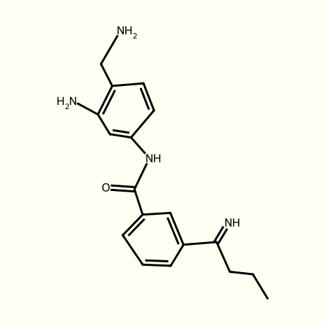 CCCC(=N)c1cccc(C(=O)Nc2ccc(CN)c(N)c2)c1